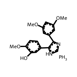 COc1cc(OC)cc(-c2nc[nH]c2-c2ccc(OC)c(O)c2)c1.P